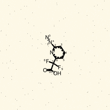 N#[N+]c1cccc(C(F)(F)C(=O)O)n1